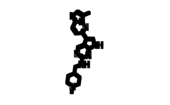 Cc1cnc2ccc(-c3c[nH]c4nc(NCC5CCN(C)CC5)ncc34)nn12